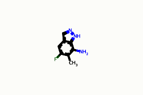 Cc1c(F)cc2cn[nH]c2c1N